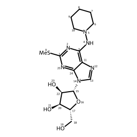 CSc1nc(NN2CCCCC2)c2ncn([C@@H]3O[C@H](CO)[C@@H](O)[C@H]3O)c2n1